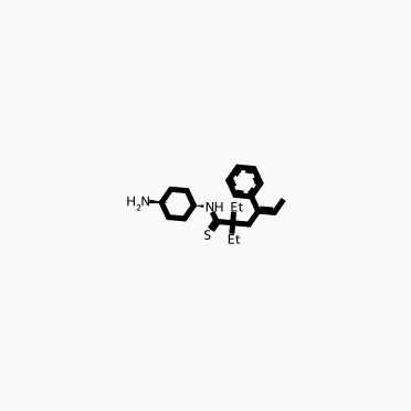 C/C=C(/CC(CC)(CC)C(=S)N[C@H]1CC[C@H](N)CC1)c1ccccc1